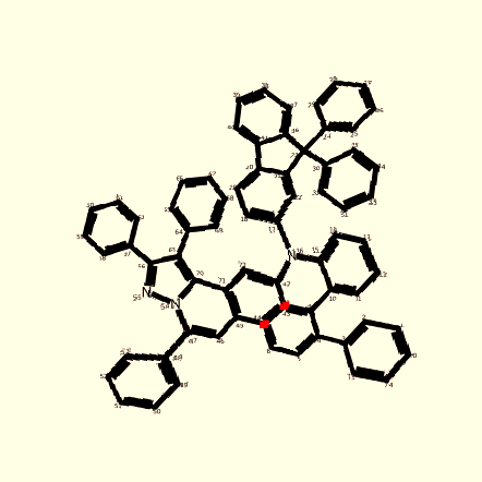 c1ccc(-c2ccccc2-c2ccccc2N(c2ccc3c(c2)C(c2ccccc2)(c2ccccc2)c2ccccc2-3)c2ccc3cc(-c4ccccc4)n4nc(-c5ccccc5)c(-c5ccccc5)c4c3c2)cc1